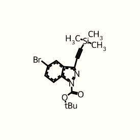 CC(C)(C)OC(=O)n1nc(C#C[Si](C)(C)C)c2cc(Br)ccc21